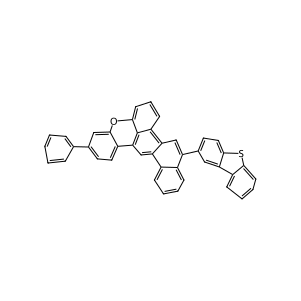 c1ccc(-c2ccc3c(c2)Oc2cccc4c2c-3cc2c3ccccc3c(-c3ccc5sc6ccccc6c5c3)cc42)cc1